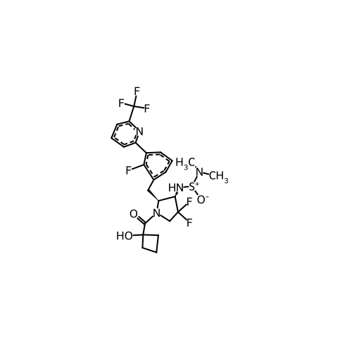 CN(C)[S+]([O-])N[C@@H]1[C@H](Cc2cccc(-c3cccc(C(F)(F)F)n3)c2F)N(C(=O)C2(O)CCC2)CC1(F)F